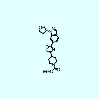 COC(=O)N1CCC(c2noc(-c3ccc4cnn(C5CCOC5)c4c3)n2)CC1